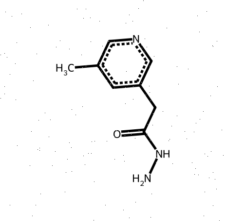 Cc1cncc(CC(=O)NN)c1